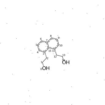 OCCc1cccc2cccc(CCO)c12